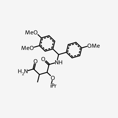 COc1ccc(C(NC(=O)C(OC(C)C)C(C)C(N)=O)c2ccc(OC)c(OC)c2)cc1